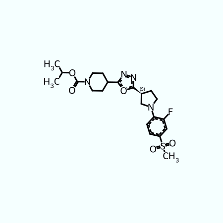 CC(C)OC(=O)N1CCC(c2nnc([C@H]3CCN(c4ccc(S(C)(=O)=O)cc4F)C3)o2)CC1